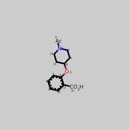 CC(=O)N1CCC(Oc2ccccc2C(=O)O)CC1